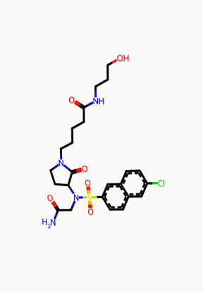 NC(=O)CN(C1CCN(CCCCC(=O)NCCCO)C1=O)S(=O)(=O)c1ccc2cc(Cl)ccc2c1